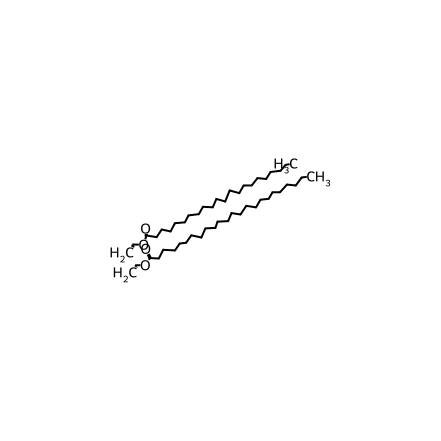 C=COC(=O)CCCCCCCCCCCCCCCCCCCCC.C=COC(=O)CCCCCCCCCCCCCCCCCCCCCCC